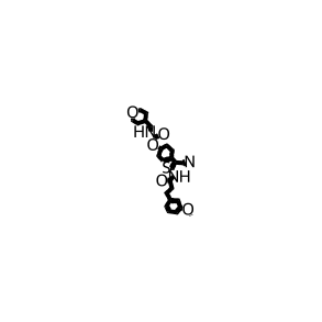 COc1cccc(CCC(=O)Nc2sc3c(c2C#N)CCC(OC(=O)NCC2CCOCC2)C3)c1